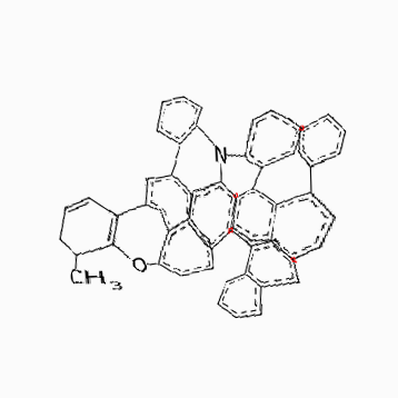 CC1CC=CC2=C1Oc1cccc3cc(-c4ccccc4N(c4cccc(-c5cccc6ccccc56)c4)c4ccccc4-c4cccc5cccc(-c6ccccc6)c45)cc2c13